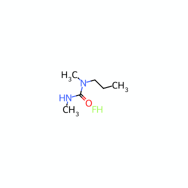 CCCN(C)C(=O)NC.F